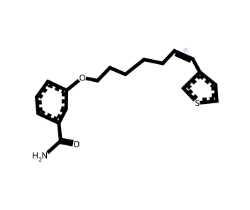 NC(=O)c1cccc(OCCCCC/C=C\c2ccsc2)c1